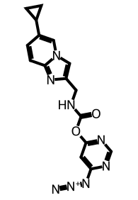 [N-]=[N+]=Nc1cc(OC(=O)NCc2cn3cc(C4CC4)ccc3n2)ncn1